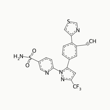 C#Cc1cc(-c2cc(C(F)(F)F)nn2-c2ccc(S(N)(=O)=O)cn2)ccc1-c1cscn1